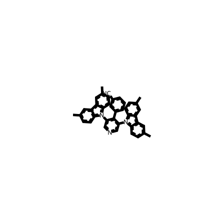 Cc1ccc2c(c1)c1cc(C)ccc1n2-c1cncc(-n2c3ccc(C)cc3c3cc(C)ccc32)c1-c1cccc(C#N)c1